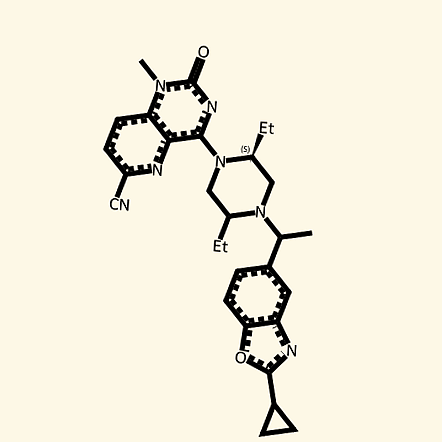 CCC1CN(c2nc(=O)n(C)c3ccc(C#N)nc23)[C@@H](CC)CN1C(C)c1ccc2oc(C3CC3)nc2c1